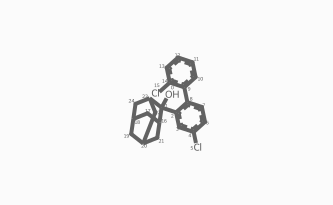 OC1(c2cc(Cl)ccc2-c2ccccc2Cl)C2CC3CC(C2)CC1C3